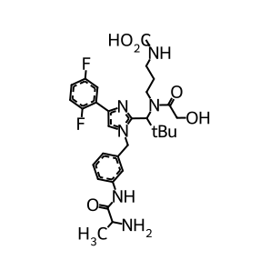 CC(N)C(=O)Nc1cccc(Cn2cc(-c3cc(F)ccc3F)nc2C(N(CCCNC(=O)O)C(=O)CO)C(C)(C)C)c1